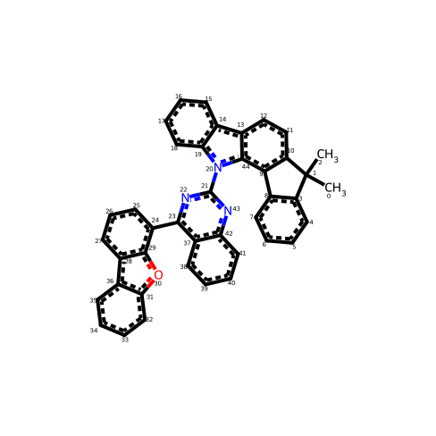 CC1(C)c2ccccc2-c2c1ccc1c3ccccc3n(-c3nc(-c4cccc5c4oc4ccccc45)c4ccccc4n3)c21